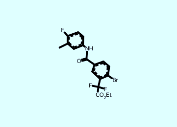 CCOC(=O)C(F)(F)c1cc(C(=O)Nc2ccc(F)c(C)c2)ccc1Br